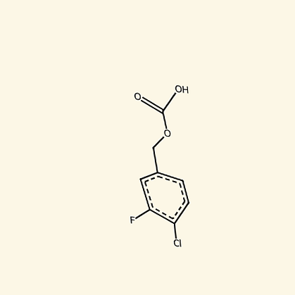 O=C(O)OCc1ccc(Cl)c(F)c1